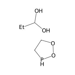 C1CPOO1.CCC(O)O